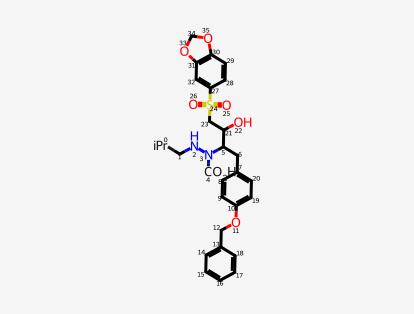 CC(C)CNN(C(=O)O)C(Cc1ccc(OCc2ccccc2)cc1)C(O)CS(=O)(=O)c1ccc2c(c1)OCO2